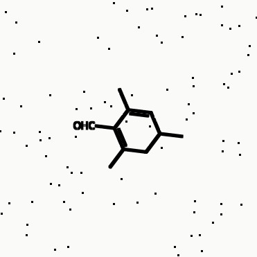 CC1=CC(C)CC(C)=C1C=O